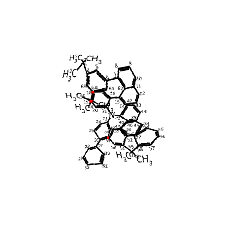 CC(C)(C)c1cc(-c2cccc3cccc(-c4ccccc4N(c4ccc(-c5ccccc5)cc4-c4ccccc4)c4ccccc4-c4cccc5c4-c4ccccc4C5(C)C)c23)cc(C(C)(C)C)c1